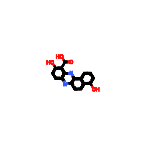 O=C(O)c1c(O)ccc2nc3ccc4c(O)cccc4c3nc12